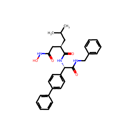 CC(C)C[C@H](CC(=O)NO)C(=O)N[C@H](C(=O)NCc1ccccc1)c1ccc(-c2ccccc2)cc1